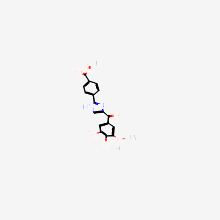 COC(=O)c1ccc(-c2nc(C(=O)c3cc(OC)c(OC)c(OC)c3)c[nH]2)cc1